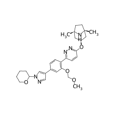 COCOc1cc(-c2cnn(C3CCCCO3)c2)ccc1-c1ccc(O[C@H]2C[C@]3(C)CC[C@](C)(C2)N3)nn1